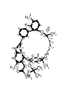 Cc1ccc2c(c1F)-c1cccc(c1)-c1cn3c(c([C@H](OC(C)(C)C)C(=O)O)c(C)nc3n1)N1CCC(C)(CC1)OCCCC[C@H](C)O2